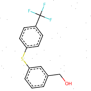 OCc1cccc(Sc2ccc(C(F)(F)F)cc2)c1